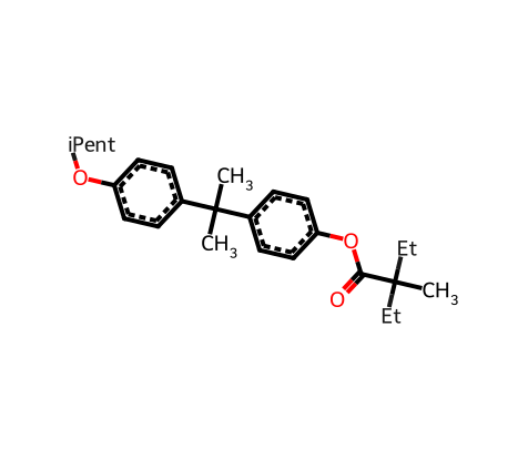 CCCC(C)Oc1ccc(C(C)(C)c2ccc(OC(=O)C(C)(CC)CC)cc2)cc1